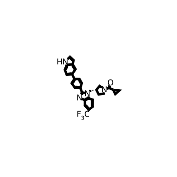 O=C(C1CC1)N1CC[C@H](Cn2c(-c3ccc(-c4ccc5[nH]ccc5c4)cc3)nc3cc(C(F)(F)F)ccc32)C1